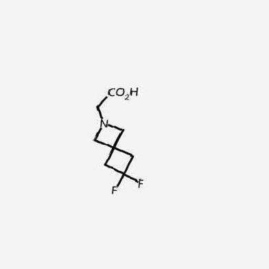 O=C(O)CN1CC2(C1)CC(F)(F)C2